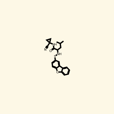 CC(C)CC(NSc1ccc2oc3ccccc3c2c1)C(=O)NC1(C#N)CC1